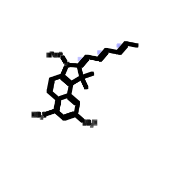 C/C=C/C=C/C=C1/N(CCCCC)c2ccc3c(S(=O)(=O)O)cc(S(=O)(=O)O)cc3c2C1(C)C